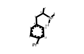 CC(C)c1ccc(CC(C)N(C)I)cc1